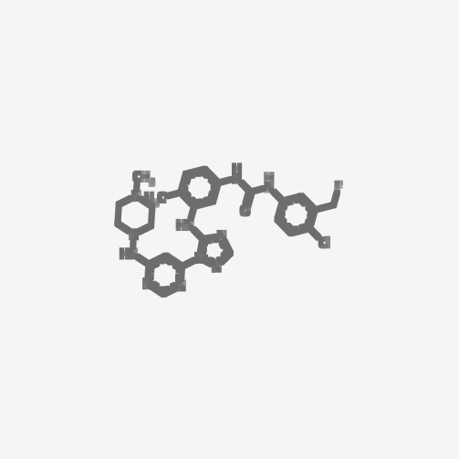 Cc1ccc(NC(=O)Nc2ccc(Cl)c(CF)c2)cc1Nc1ncnn1-c1cc(NN2CCN(C)CC2)ncn1